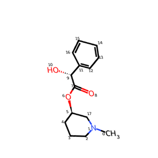 CN1CCC[C@@H](OC(=O)[C@H](O)c2ccccc2)C1